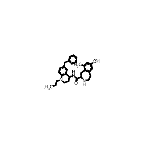 CCCN1CCC(NC(=O)C2Cc3c(C)cc(O)cc3CCN2)c2cc(Cc3ccccc3)ccc21